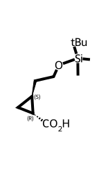 CC(C)(C)[Si](C)(C)OCC[C@@H]1C[C@H]1C(=O)O